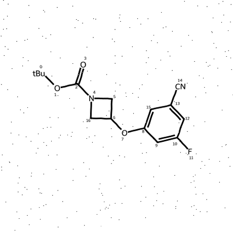 CC(C)(C)OC(=O)N1CC(Oc2cc(F)cc(C#N)c2)C1